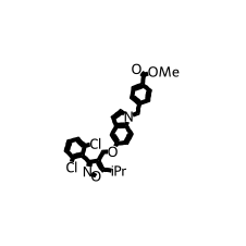 COC(=O)c1ccc(Cn2ccc3cc(OCc4c(-c5c(Cl)cccc5Cl)noc4C(C)C)ccc32)cc1